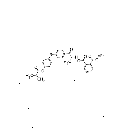 C=C(C)C(=O)Oc1ccc(Sc2ccc(C(=O)/C(C)=N/OC(=O)c3ccccc3C(=O)OCCC)cc2)cc1